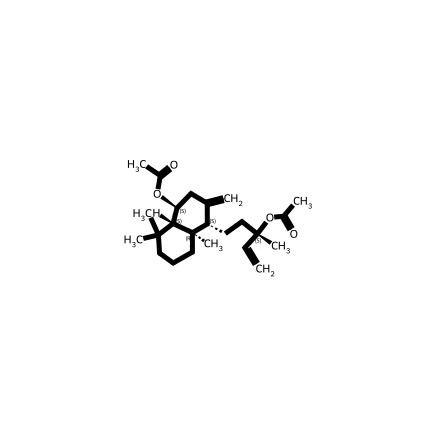 C=C[C@](C)(CC[C@H]1C(=C)C[C@H](OC(C)=O)[C@H]2C(C)(C)CCC[C@]12C)OC(C)=O